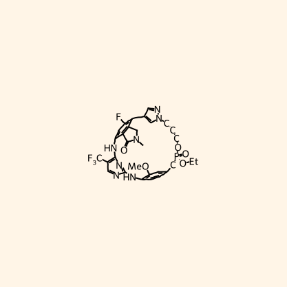 CCOP1(=O)Cc2ccc(c(OC)c2)Nc2ncc(C(F)(F)F)c(n2)Nc2cc(F)c(c3c2C(=O)N(C)C3)-c2cnn(c2)CCCO1